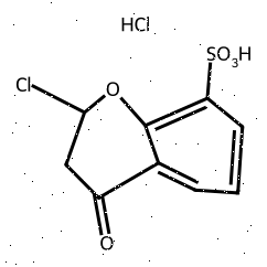 Cl.O=C1CC(Cl)Oc2c1cccc2S(=O)(=O)O